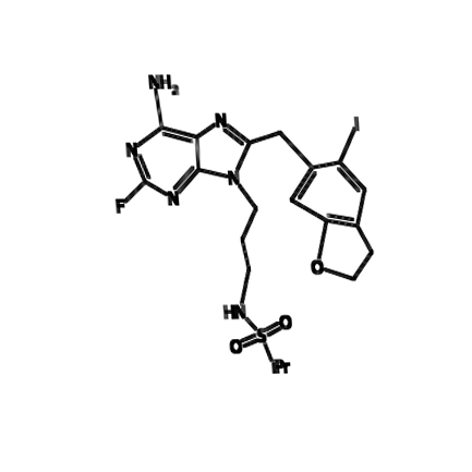 CC(C)S(=O)(=O)NCCCn1c(Cc2cc3c(cc2I)CCO3)nc2c(N)nc(F)nc21